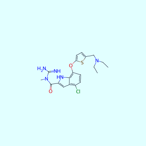 CCN(CC)Cc1ccc(Oc2ccc(Cl)c3cc(C(=O)N(C)C(=N)N)[nH]c23)s1